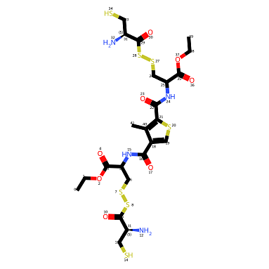 CCOC(=O)C(CSSC(=O)[C@@H](N)CS)NC(=O)c1csc(C(=O)NC(CSSC(=O)[C@@H](N)CS)C(=O)OCC)c1C